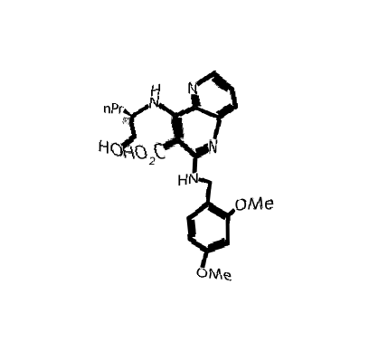 CCC[C@H](CO)Nc1c(C(=O)O)c(NCc2ccc(OC)cc2OC)nc2cccnc12